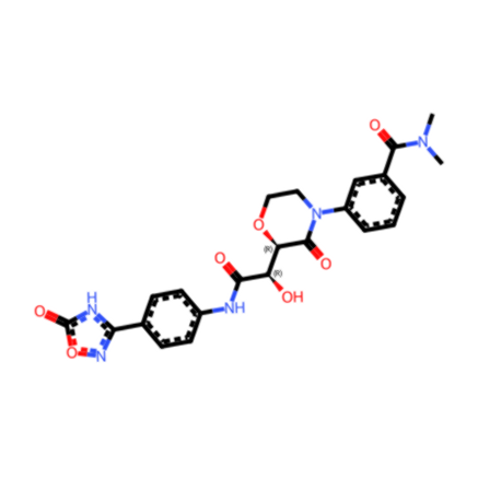 CN(C)C(=O)c1cccc(N2CCO[C@H]([C@@H](O)C(=O)Nc3ccc(-c4noc(=O)[nH]4)cc3)C2=O)c1